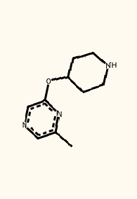 Cc1cncc(OC2CCNCC2)n1